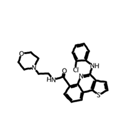 O=C(NCCN1CCOCC1)c1cccc2c1nc(Nc1ccccc1Cl)c1ccsc12